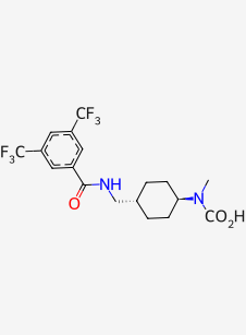 CN(C(=O)O)[C@H]1CC[C@H](CNC(=O)c2cc(C(F)(F)F)cc(C(F)(F)F)c2)CC1